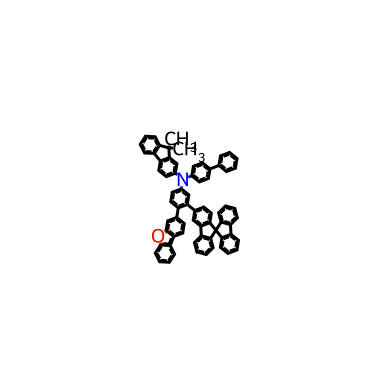 CC1(C)c2ccccc2-c2ccc(N(c3ccc(-c4ccccc4)cc3)c3ccc(-c4ccc5c(c4)oc4ccccc45)c(-c4ccc5c(c4)-c4ccccc4C54c5ccccc5-c5ccccc54)c3)cc21